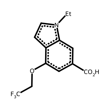 CCn1ccc2c(OCC(F)(F)F)cc(C(=O)O)cc21